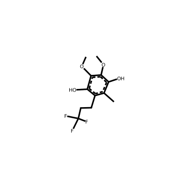 COc1c(O)c(C)c(CCC(F)(F)F)c(O)c1OC